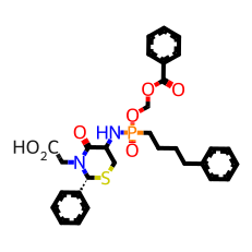 O=C(O)CN1C(=O)C(NP(=O)(CCCCc2ccccc2)OCOC(=O)c2ccccc2)CS[C@@H]1c1ccccc1